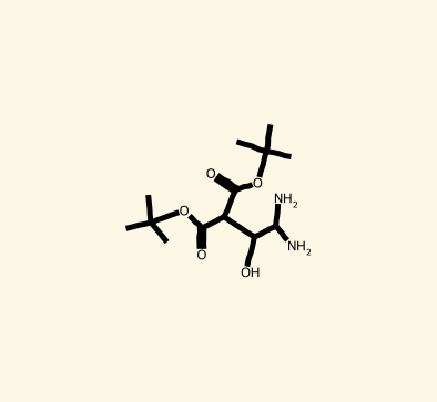 CC(C)(C)OC(=O)C(C(=O)OC(C)(C)C)C(O)C(N)N